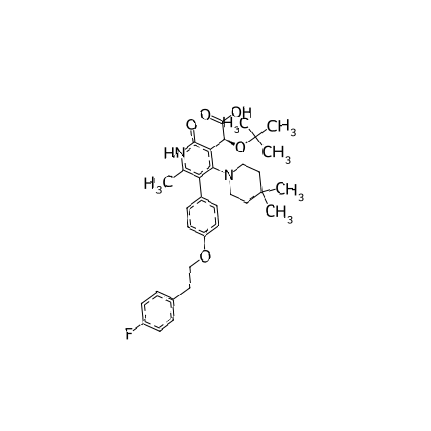 Cc1[nH]c(=O)c([C@H](OC(C)(C)C)C(=O)O)c(N2CCC(C)(C)CC2)c1-c1ccc(OCCc2ccc(F)cc2)cc1